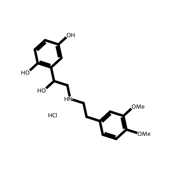 COc1ccc(CCNCC(O)c2cc(O)ccc2O)cc1OC.Cl